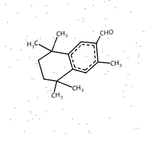 Cc1cc2c(cc1C=O)C(C)(C)CCC2(C)C